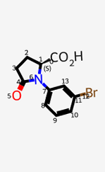 O=C(O)[C@@H]1CCC(=O)N1c1cccc(Br)c1